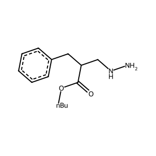 CCCCOC(=O)C(CNN)Cc1ccccc1